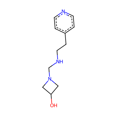 OC1CN(CNCCc2ccncc2)C1